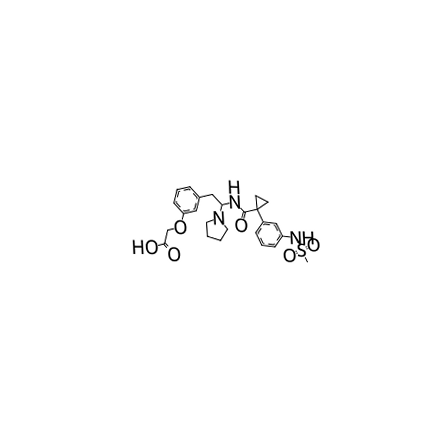 CS(=O)(=O)Nc1cccc(C2(C(=O)NC(Cc3cccc(OCC(=O)O)c3)N3CCCC3)CC2)c1